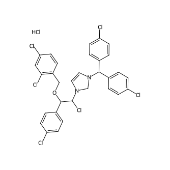 Cl.Clc1ccc(C(OCc2ccc(Cl)cc2Cl)C(Cl)N2C=CN(C(c3ccc(Cl)cc3)c3ccc(Cl)cc3)C2)cc1